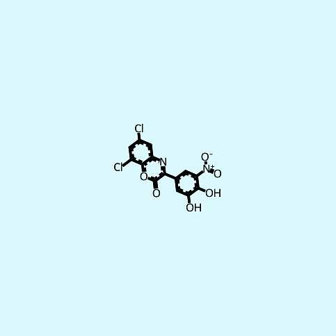 O=c1oc2c(Cl)cc(Cl)cc2nc1-c1cc(O)c(O)c([N+](=O)[O-])c1